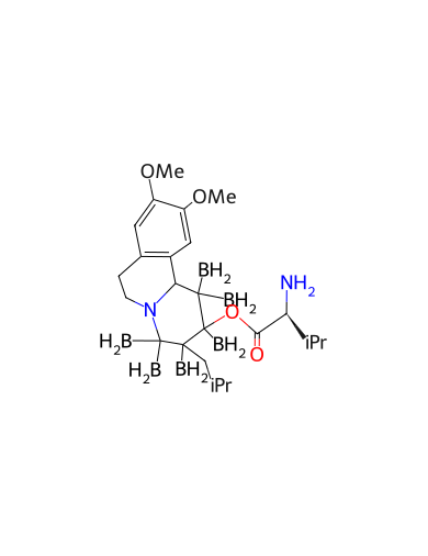 BC1(B)C2c3cc(OC)c(OC)cc3CCN2C(B)(B)C(B)(CC(C)C)C1(B)OC(=O)[C@@H](N)C(C)C